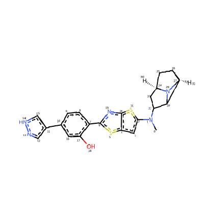 CN(c1cc2sc(-c3ccc(-c4cn[nH]c4)cc3O)nc2s1)C1C[C@H]2CC[C@H]3C1N23